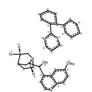 CC[C@@H]1CN2CCC1C[C@H]2C(O)c1ccnc2ccc(OC)cc12.c1ccc(-c2ccccc2-c2ncccn2)cc1